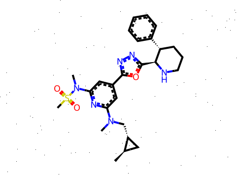 C[C@@H]1C[C@H]1CN(C)c1cc(-c2nnc([C@@H]3NCCC[C@H]3c3ccccc3)o2)cc(N(C)S(C)(=O)=O)n1